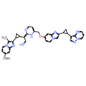 COc1ccn2c(C)c(C3CC3/C(C=N)=C3\N=CC=C(COc4ccn5cc(C6CC6c6cnn7cccnc67)nc5c4)N3)nc2c1